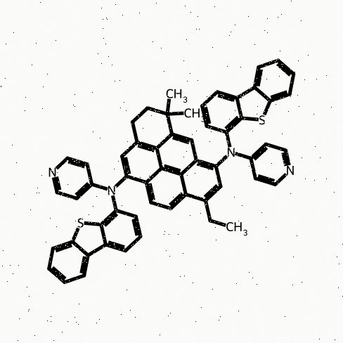 CCc1cc(N(c2ccncc2)c2cccc3c2sc2ccccc23)c2cc3c4c(cc(N(c5ccncc5)c5cccc6c5sc5ccccc56)c5ccc1c2c54)CCC3(C)C